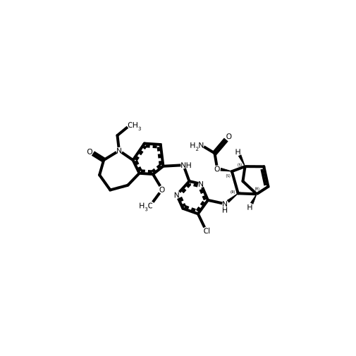 CCN1C(=O)CCCc2c1ccc(Nc1ncc(Cl)c(N[C@H]3[C@@H](OC(N)=O)[C@@H]4C=C[C@H]3C4)n1)c2OC